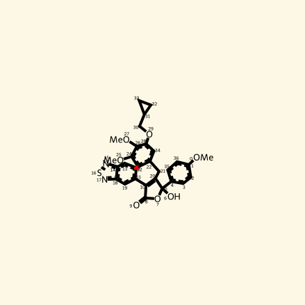 COc1ccc(C2(O)OC(=O)C(c3ccc4nsnc4c3)=C2Cc2cc(OC)c(OC)c(OCC3CC3)c2)cc1